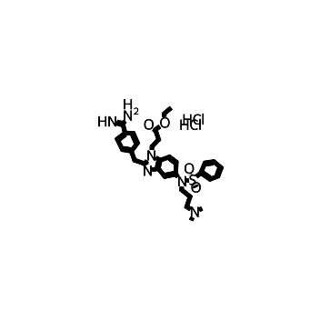 CCOC(=O)CCn1c(Cc2ccc(C(=N)N)cc2)nc2cc(N(CCCN(C)C)S(=O)(=O)c3ccccc3)ccc21.Cl.Cl